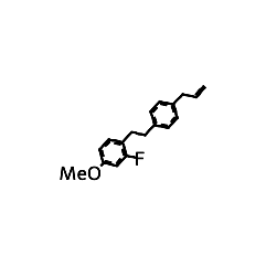 C=CCc1ccc(CCc2ccc(OC)cc2F)cc1